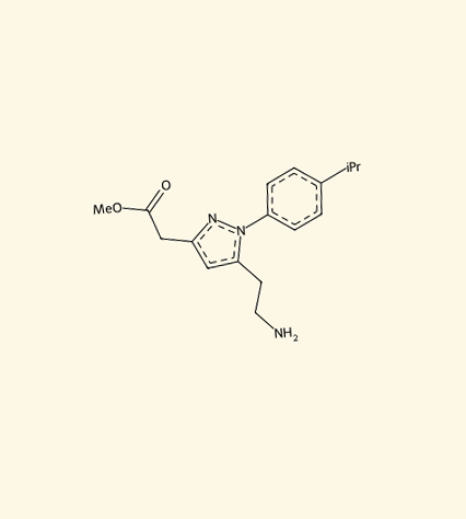 COC(=O)Cc1cc(CCN)n(-c2ccc(C(C)C)cc2)n1